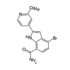 COc1cc(-c2cc3c(Br)ccc(C(N)=O)c3[nH]2)ccn1